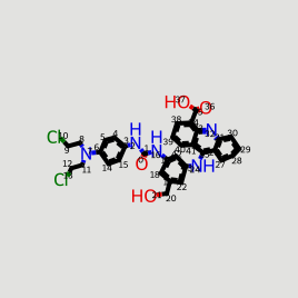 O=C(Nc1ccc(N(CCCl)CCCl)cc1)Nc1cc(CO)cc(Nc2c3ccccc3nc3c(C(=O)O)cccc23)c1